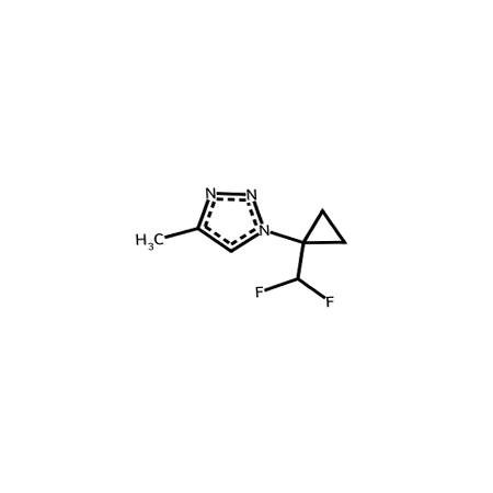 Cc1cn(C2(C(F)F)CC2)nn1